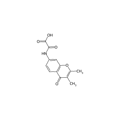 Cc1oc2cc(NC(=O)C(=O)O)ccc2c(=O)c1C